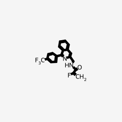 C=C(F)C(=O)NCc1cc2ccccc2c(-c2ccc(C(F)(F)F)cc2)n1